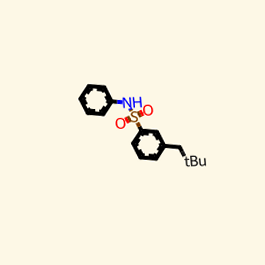 CC(C)(C)Cc1cccc(S(=O)(=O)Nc2ccccc2)c1